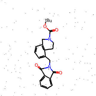 CC(C)(C)OC(=O)N1CCc2c(cccc2CN2C(=O)c3ccccc3C2=O)C1